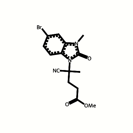 COC(=O)CCC(C)(C#N)n1c(=O)n(C)c2cc(Br)ccc21